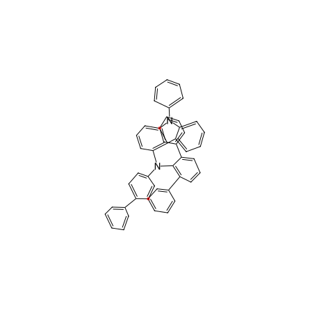 c1ccc(-c2ccc(N(c3c(-c4ccccc4)cccc3-c3ccccc3)c3cccc4c3c3ccccc3n4-c3ccccc3)cc2)cc1